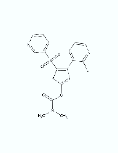 CN(C)C(=O)Oc1cc(-c2cccnc2F)c(S(=O)(=O)c2cccnc2)s1